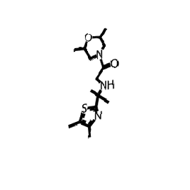 Cc1nc(C(C)(C)NCC(=O)N2CC(C)OC(C)C2)sc1C